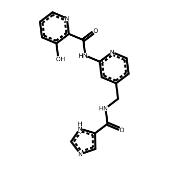 O=C(NCc1ccnc(NC(=O)c2ncccc2O)c1)c1cnc[nH]1